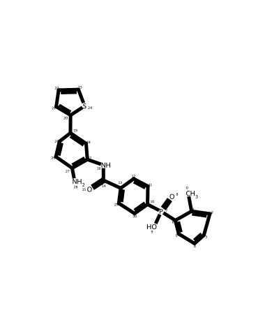 Cc1ccccc1P(=O)(O)c1ccc(C(=O)Nc2cc(-c3cccs3)ccc2N)cc1